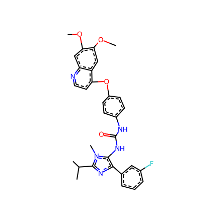 COc1cc2nccc(Oc3ccc(NC(=O)Nc4c(-c5cccc(F)c5)nc(C(C)C)n4C)cc3)c2cc1OC